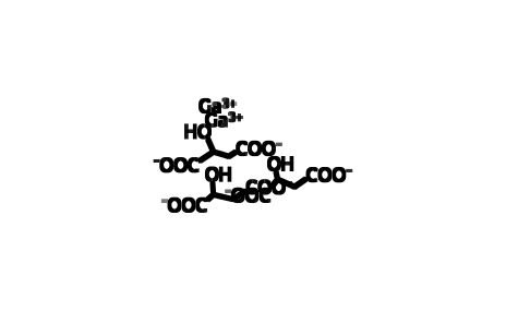 O=C([O-])CC(O)C(=O)[O-].O=C([O-])CC(O)C(=O)[O-].O=C([O-])CC(O)C(=O)[O-].[Ga+3].[Ga+3]